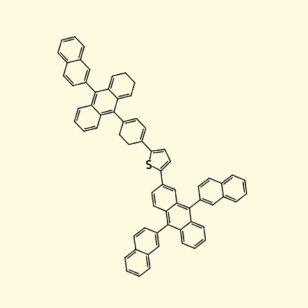 C1=C(c2ccc(-c3ccc4c(-c5ccc6ccccc6c5)c5ccccc5c(-c5ccc6ccccc6c5)c4c3)s2)CCC(c2c3c(c(-c4ccc5ccccc5c4)c4ccccc24)=CCCC=3)=C1